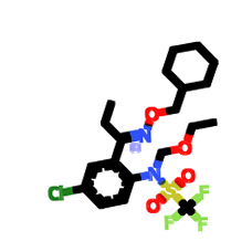 CCOCN(c1ccc(Cl)cc1/C(CC)=N/OCC1CCCCC1)S(=O)(=O)C(F)(F)F